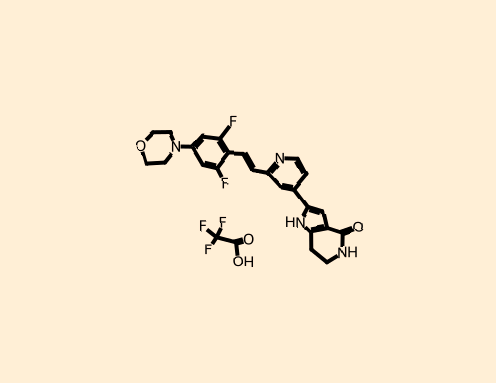 O=C(O)C(F)(F)F.O=C1NCCc2[nH]c(-c3ccnc(C=Cc4c(F)cc(N5CCOCC5)cc4F)c3)cc21